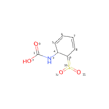 O=C(O)NC1C=CC=CC1=S(=O)=O